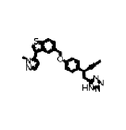 CC#CC(Cc1nnn[nH]1)c1ccc(OCc2ccc3scc(-c4ccnn4C)c3c2)cc1